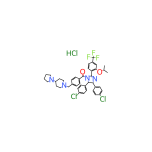 CC(C)Oc1cc(C(F)(F)F)ccc1C1=NC(c2ccc(Cl)cc2)C(c2ccc(Cl)cc2)N1C(=O)c1ccc(CN2CCC(N3CCCC3)CC2)cc1.Cl